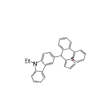 CCn1c2ccccc2c2cc(C(c3cccs3)c3ccccc3-c3ccccc3)ccc21